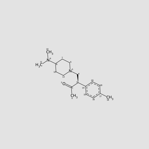 CC(=O)[C@@H](CN1CCC(N(C)C)CC1)c1ccc(C)cc1